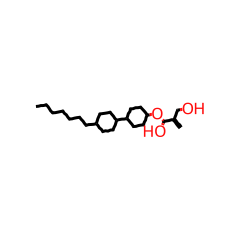 C=C(CO)C(O)OC1CCC(C2CCC(CCCCCCC)CC2)CC1